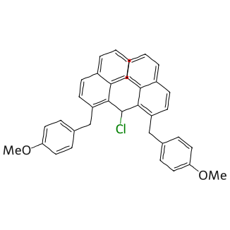 COc1ccc(Cc2ccc3ccccc3c2C(Cl)c2c(Cc3ccc(OC)cc3)ccc3ccccc23)cc1